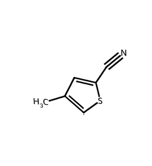 Cc1[c]sc(C#N)c1